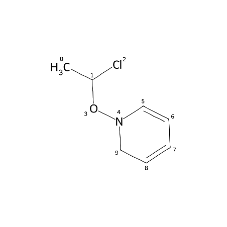 CC(Cl)ON1C=CC=CC1